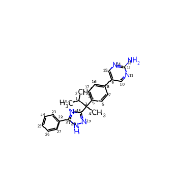 CC(C)C(C)(c1ccc(-c2cnc(N)nc2)cc1)c1n[nH]c(-c2ccccc2)n1